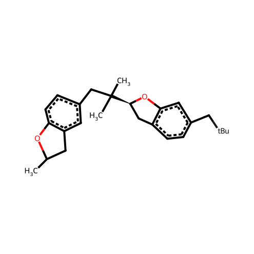 CC1Cc2cc(CC(C)(C)[C@@H]3Cc4ccc(CC(C)(C)C)cc4O3)ccc2O1